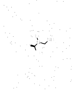 CCC(C)C(=O)N(CC)CN